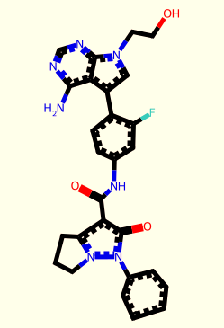 Nc1ncnc2c1c(-c1ccc(NC(=O)c3c4n(n(-c5ccccc5)c3=O)CCC4)cc1F)cn2CCO